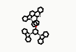 c1ccc(-n2c3ccccc3c3ccc4c5ccccc5nc(-c5ccc(-c6cc(-n7c8ccccc8c8ccccc87)cc(-n7c8ccccc8c8ccccc87)c6)cc5)c4c32)cc1